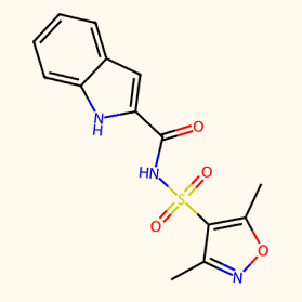 Cc1noc(C)c1S(=O)(=O)NC(=O)c1cc2ccccc2[nH]1